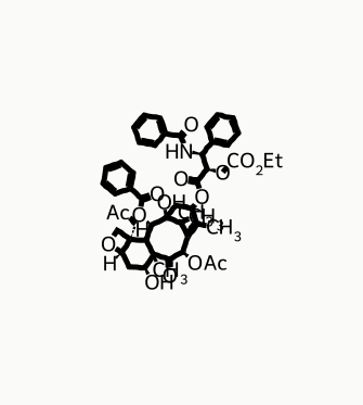 CCOC(=O)O[C@@H](C(=O)OC1C[C@@]2(O)[C@@H](OC(=O)c3ccccc3)[C@@H]3[C@]4(CC(C)=O)CO[C@@H]4C[C@H](O)[C@@]3(C)C(=O)[C@H](OC(C)=O)C(=C1C)C2(C)C)[C@@H](NC(=O)c1ccccc1)c1ccccc1